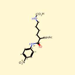 CC(=O)NC(CCCCNC(=O)O)C(=O)Nc1ccc([N+](=O)[O-])cc1